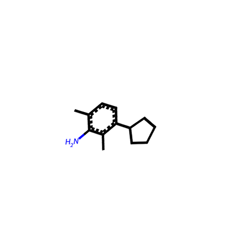 Cc1ccc(C2CCCC2)c(C)c1N